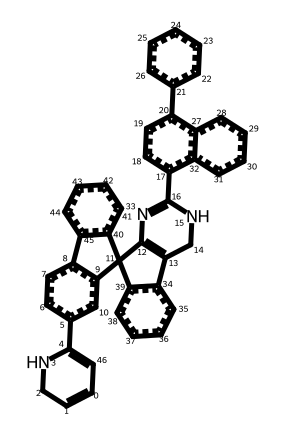 C1=CCNC(c2ccc3c(c2)C2(C4=C(CNC(c5ccc(-c6ccccc6)c6ccccc56)=N4)c4ccccc42)c2ccccc2-3)=C1